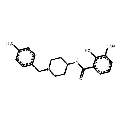 COc1ccnc(C(=O)NC2CCN(Cc3ccc(C)cc3)CC2)c1O